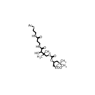 CC(=O)SCCNC(=O)CCNC(=O)C(O)C(C)(C)COC(=O)OC(CC(=O)[O-])C[N+](C)(C)C